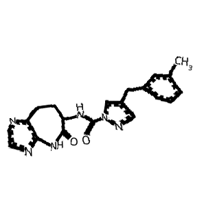 Cc1cccc(Cc2cnn(C(=O)NC3CCc4nccnc4NC3=O)c2)c1